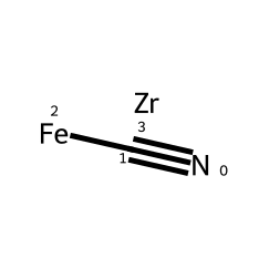 N#[C][Fe].[Zr]